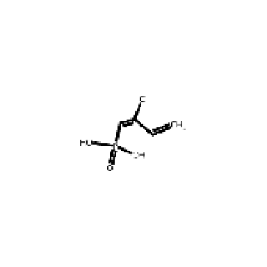 C=C/C(Cl)=C\P(=O)(O)O